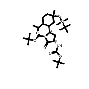 CC(C)C1CCC(C)(O[Si](C)(C)C(C)(C)C)CC1[C@H]1C[C@H](NC(=O)OC(C)(C)C)C(=O)N1C(=O)OC(C)(C)C